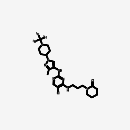 [2H]C([2H])([2H])N1CCC(n2cc(Nc3ncc(Cl)c(NCCCN4CCCCC4=O)n3)c(C)n2)CC1